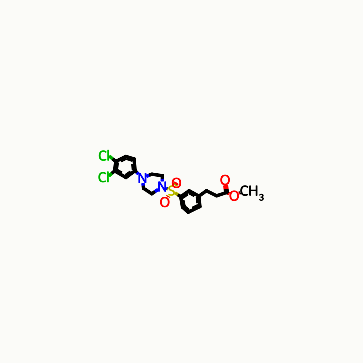 COC(=O)CCc1cccc(S(=O)(=O)N2CCN(c3ccc(Cl)c(Cl)c3)CC2)c1